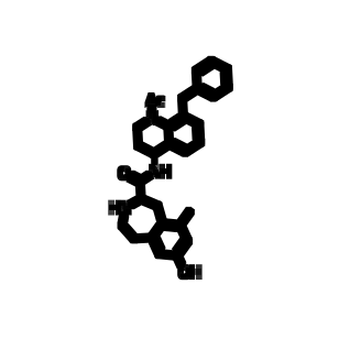 CC(=O)N1CC[C@@H](NC(=O)C2Cc3c(C)cc(O)cc3CCN2)c2cccc(Cc3ccccc3)c21